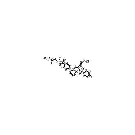 Cc1ccc(S(=O)(=O)n2c(C#CCO)cc3c(-c4ccc(S(=O)(=O)NCCNC(=O)O)cc4)ccnc32)cc1